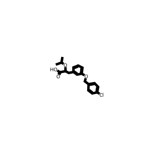 CC(C)OC(Cc1cccc(OCc2ccc(Cl)cc2)c1)C(=O)O